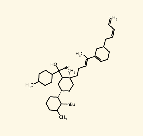 C=C/C=C\CC1CCC=C(/C(C)=C/CC[C@@]2(C)CC[C@H](C3CCCC(C)C3CCCC)CC2C(O)(C(C)C)C2CCC(C)CC2)C1